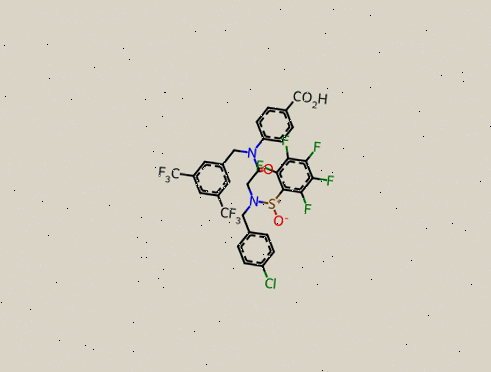 O=C(O)c1ccc(N(Cc2cc(C(F)(F)F)cc(C(F)(F)F)c2)C(=O)CN(Cc2ccc(Cl)cc2)[S+]([O-])c2c(F)c(F)c(F)c(F)c2F)cc1